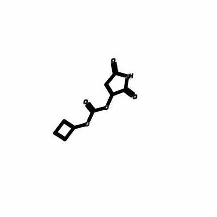 O=C1CC(OC(=O)OC2CCC2)C(=O)N1